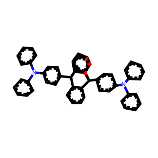 c1ccc(N(c2ccccc2)c2ccc(C34c5ccccc5C(c5ccc(N(c6ccccc6)c6ccccc6)cc5)(c5ccccc53)c3ccccc34)cc2)cc1